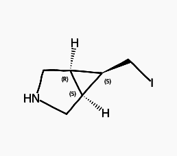 IC[C@H]1[C@H]2CNC[C@@H]12